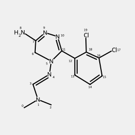 CN(C)C=NN1CC(N)=NN=C1c1cccc(Cl)c1Cl